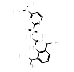 CC(C)c1cccc(C(C)C)c1NC(=O)NS(=O)(=O)c1nccc(N(C)C)n1